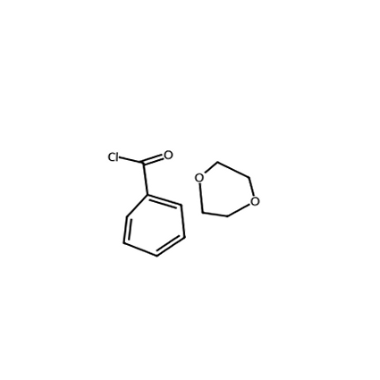 C1COCCO1.O=C(Cl)c1ccccc1